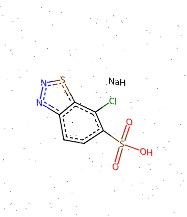 O=S(=O)(O)c1ccc2nnsc2c1Cl.[NaH]